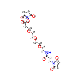 O=C(CCN1C(=O)C=CC1=O)NCCOCCOCCOCCC(=O)ON1C(=O)CCC1=O